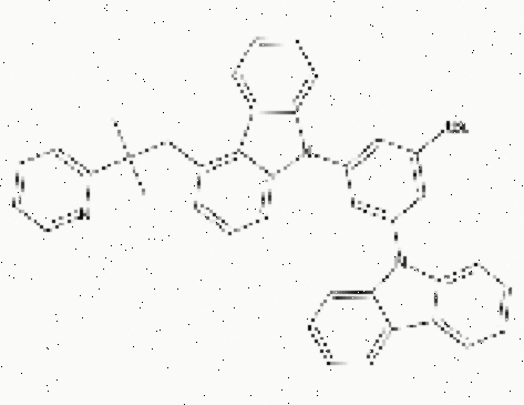 CC(C)(C)c1cc(-n2c3ccccc3c3ccccc32)cc(-n2c3ccccc3c3c(CC(C)(C)c4ccccn4)cccc32)c1